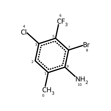 Cc1cc(Cl)c(C(F)(F)F)c(Br)c1N